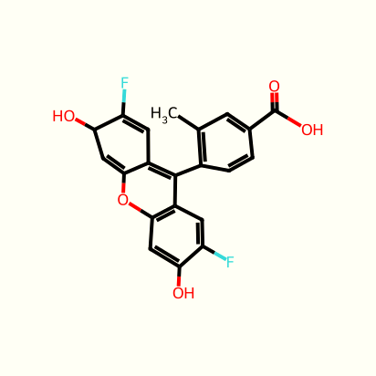 Cc1cc(C(=O)O)ccc1C1=C2C=C(F)C(O)C=C2Oc2cc(O)c(F)cc21